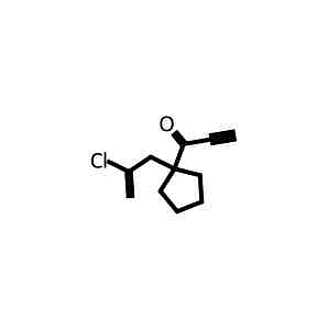 C#CC(=O)C1(CC(=C)Cl)CCCC1